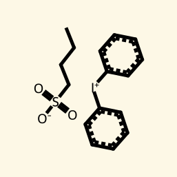 CCCCS(=O)(=O)[O-].c1ccc([I+]c2ccccc2)cc1